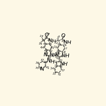 CC1(C)C(=O)Nc2cc3[nH]c(-c4cc5ccccc5[nH]4)nc3cc21.CC1(C)C(=O)Nc2cc3[nH]c(Nc4cccnc4)nc3cc21